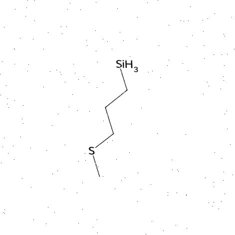 CSCCC[SiH3]